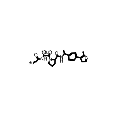 CCC(C)CC(=O)N[C@H](C(=O)N1CCCC1C(=O)NC(C)c1ccc(C2=C(C)N=CC2)cc1)C(C)(C)C